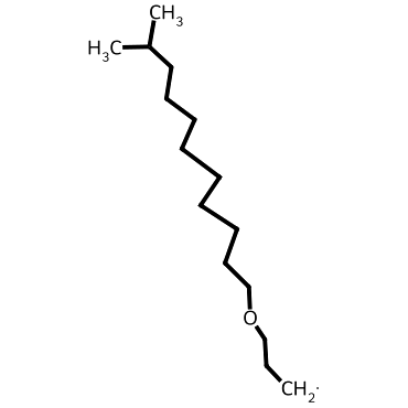 [CH2]CCOCCCCCCCCCC(C)C